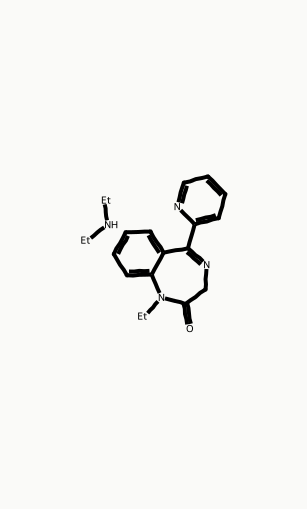 CCN1C(=O)CN=C(c2ccccn2)c2ccccc21.CCNCC